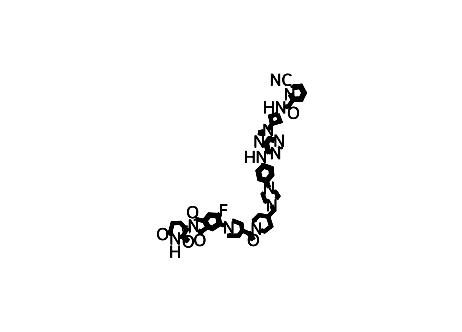 N#Cc1cccc(C(=O)NC2CC(n3cnc4c(Nc5ccc(N6CCN(CC7CCN(C(=O)C8CCN(c9cc%10c(cc9F)C(=O)N([C@H]9CCC(=O)NC9=O)C%10=O)CC8)CC7)CC6)cc5)ncnc43)C2)n1